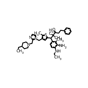 CCNc1ccc(C(c2cc(Cn3ccnc3CN3CCC(CC)CC3)c(C)s2)C(C)(C)C(=O)CCc2ccccc2)c(C)c1N